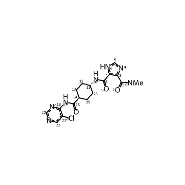 CNC(=O)c1nc[nH]c1C(=O)N[C@H]1CC[C@H](C(=O)Nc2ncncc2Cl)CC1